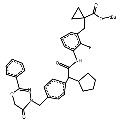 CC(C)(C)OC(=O)C1(Cc2cccc(NC(=O)C(c3ccc(CN4N=C(c5ccccc5)OCC4=O)cc3)C3CCCC3)c2F)CC1